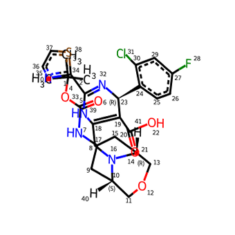 CC(C)(C)OC(=O)NC1C[C@H]2COC[C@@H](C1)N2CC1=C(C(=O)O)[C@H](c2ccc(F)cc2Cl)N=C(c2nccs2)N1